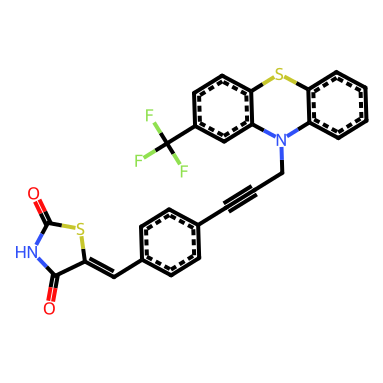 O=C1NC(=O)C(=Cc2ccc(C#CCN3c4ccccc4Sc4ccc(C(F)(F)F)cc43)cc2)S1